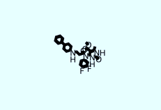 COC(=O)C1=C(C)NC(=O)NC1N(C(=O)CCNC1CCC(c2ccccc2)CC1)c1ccc(F)c(F)c1